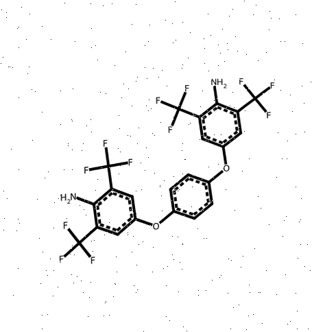 Nc1c(C(F)(F)F)cc(Oc2ccc(Oc3cc(C(F)(F)F)c(N)c(C(F)(F)F)c3)cc2)cc1C(F)(F)F